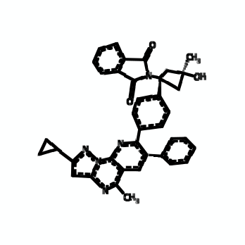 Cc1nc2cc(C3CC3)nn2c2nc(-c3ccc([C@]4(N5C(=O)c6ccccc6C5=O)C[C@](C)(O)C4)cc3)c(-c3ccccc3)cc12